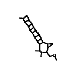 COCC1C(C)C(C)C2C(C3CC13)C1C2C2C1C1C3C4C5CC(C)C5C4C3C21